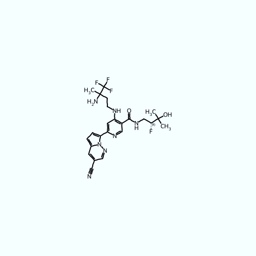 CC(C)(O)[C@H](F)CNC(=O)c1cnc(-c2ccc3cc(C#N)cnn23)cc1NCCC(C)(N)C(F)(F)F